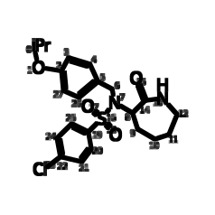 CC(C)Oc1ccc(CN(C2CCCCNC2=O)S(=O)(=O)c2ccc(Cl)cc2)cc1